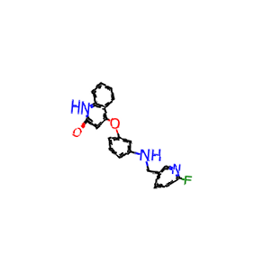 O=c1cc(Oc2cccc(NCc3ccc(F)nc3)c2)c2ccccc2[nH]1